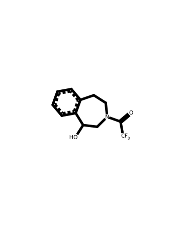 O=C(N1CCc2ccccc2C(O)C1)C(F)(F)F